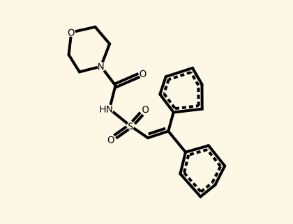 O=C(NS(=O)(=O)C=C(c1ccccc1)c1ccccc1)N1CCOCC1